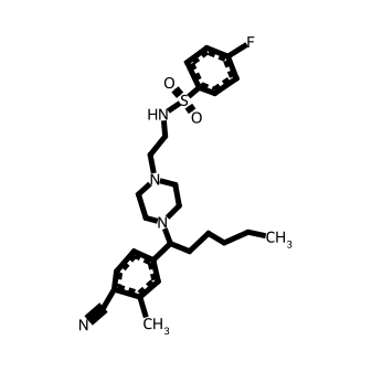 CCCCCC(c1ccc(C#N)c(C)c1)N1CCN(CCNS(=O)(=O)c2ccc(F)cc2)CC1